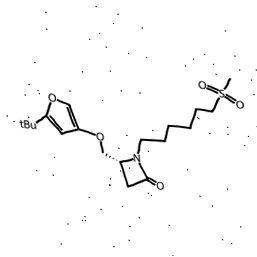 CC(C)(C)c1cc(OC[C@H]2CC(=O)N2CCCCCCS(C)(=O)=O)co1